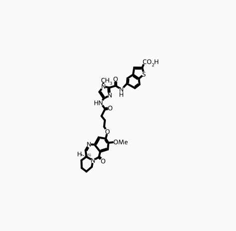 COc1cc2c(cc1OCCCC(=O)Nc1cn(C)c(C(=O)Nc3ccc4sc(C(=O)O)cc4c3)n1)N=C[C@@H]1CCCCN1C2=O